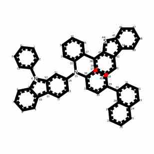 c1ccc(-n2c3ccccc3c3ccc(N(c4ccc(-c5cccc6ccccc56)cc4)c4ccccc4-c4cccc5c4sc4ccccc45)cc32)cc1